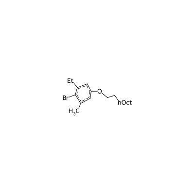 CCCCCCCCCCOc1cc(C)c(Br)c(CC)c1